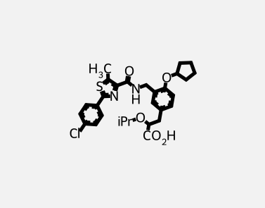 Cc1sc(-c2ccc(Cl)cc2)nc1C(=O)NCc1cc(CC(OC(C)C)C(=O)O)ccc1OC1CCCC1